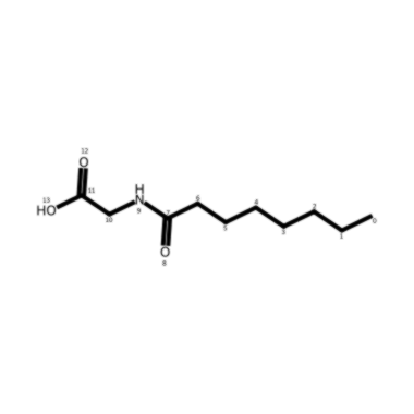 CCCCCCCC(=O)NCC(=O)O